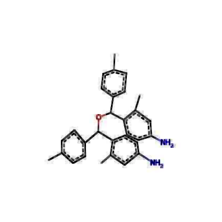 Cc1ccc(C(OC(c2ccc(C)cc2)c2ccc(N)cc2C)c2ccc(N)cc2C)cc1